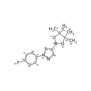 CC1(C)OB(c2cnn(-c3ccc(F)cc3)c2)OC1(C)C